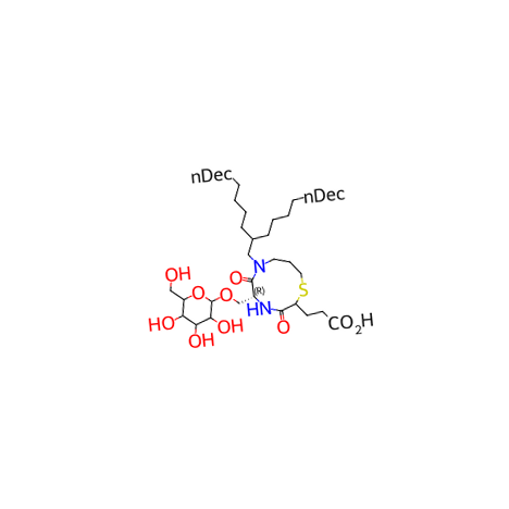 CCCCCCCCCCCCCCC(CCCCCCCCCCCCCC)CN1CCCSC(CCC(=O)O)C(=O)N[C@H](COC2OC(CO)C(O)C(O)C2O)C1=O